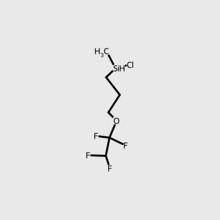 C[SiH](Cl)CCCOC(F)(F)C(F)F